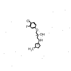 CC1CC[C@H](NC[C@@H](O)COc2ccc(Cl)c(F)c2)C1